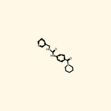 O=C(NCc1cccnc1)Nc1ccc(C(=O)N2CCCCC2)cc1